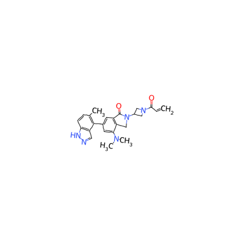 C=CC(=O)N1CC(N2Cc3c(cc(-c4c(C)ccc5[nH]ncc45)cc3N(C)C)C2=O)C1